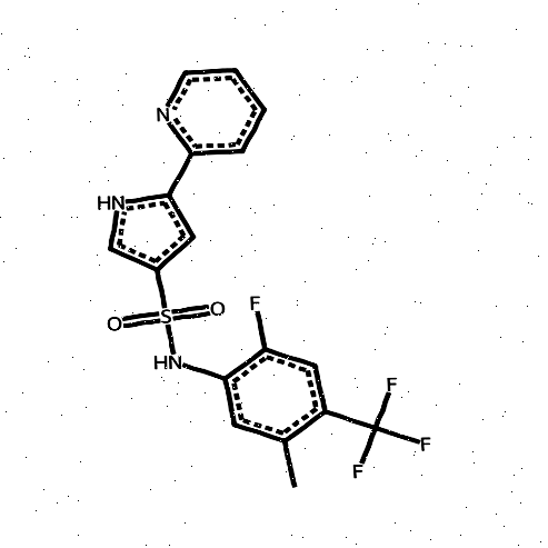 Cc1cc(NS(=O)(=O)c2c[nH]c(-c3ccccn3)c2)c(F)cc1C(F)(F)F